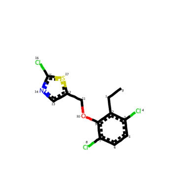 CCc1c(Cl)ccc(Cl)c1OCc1cnc(Cl)s1